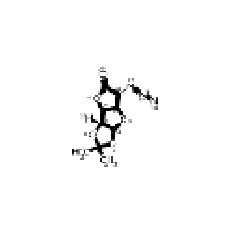 CC1(C)OC2OC3C(OC(=O)[C@@H]3N=[N+]=[N-])[C@H]2O1